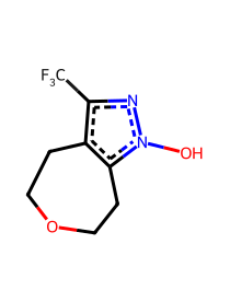 On1nc(C(F)(F)F)c2c1CCOCC2